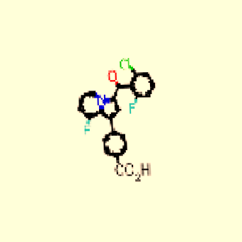 O=C(O)c1ccc(-c2cc(C(=O)c3c(F)cccc3Cl)n3cccc(F)c23)cc1